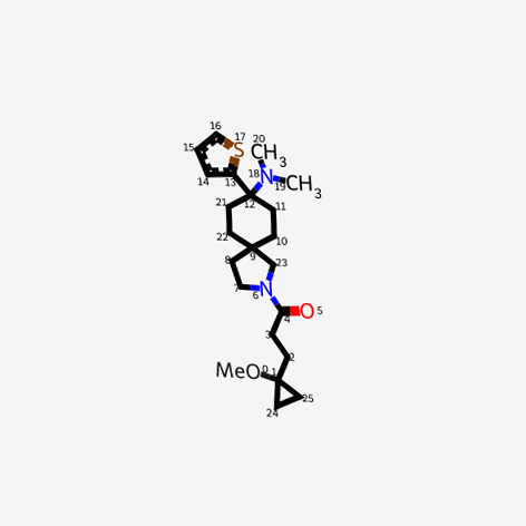 COC1(CCC(=O)N2CCC3(CCC(c4cccs4)(N(C)C)CC3)C2)CC1